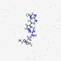 CN(C)[C@H]1C[C@@H](Nc2ncc3c(-c4cnc5ncc(Cl)n5c4)ccn3n2)C1